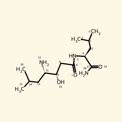 CC(C)C[C@H](NC(=O)C[C@H](O)[C@@H](N)CC(C)C)C(N)=O